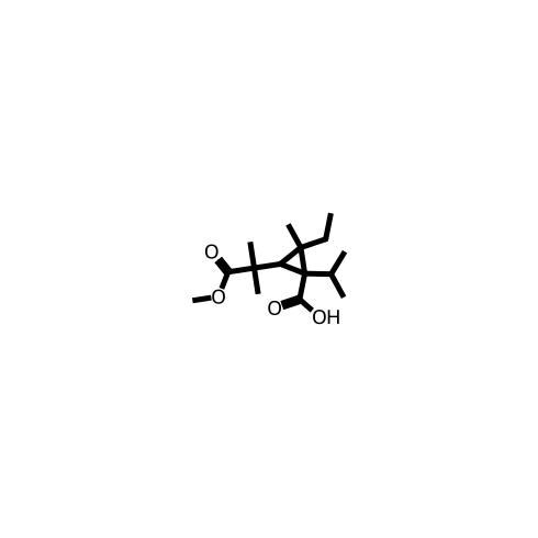 CCC1(C)C(C(C)(C)C(=O)OC)C1(C(=O)O)C(C)C